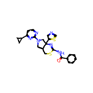 O=C(NC1=NC2(c3cncs3)CN(c3nccc(C4CC4)n3)CC2CS1)c1ccccc1